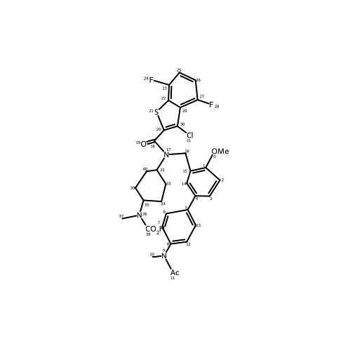 COc1ccc(-c2ccc(N(C)C(C)=O)cc2)cc1CN(C(=O)c1sc2c(F)ccc(F)c2c1Cl)C1CCC(N(C)C(=O)O)CC1